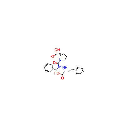 O=C(O)C(CCc1ccccc1)NN(Cc1ccccc1)C(=O)N1CCC[C@H]1C(=O)O